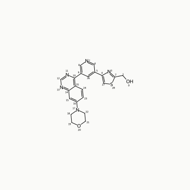 OCc1nc(-c2cncc(-c3ncnc4cc(N5CCOCC5)ccc34)c2)cs1